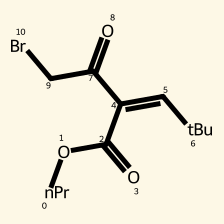 CCCOC(=O)/C(=C\C(C)(C)C)C(=O)CBr